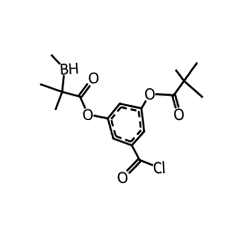 CBC(C)(C)C(=O)Oc1cc(OC(=O)C(C)(C)C)cc(C(=O)Cl)c1